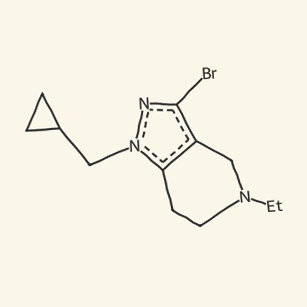 CCN1CCc2c(c(Br)nn2CC2CC2)C1